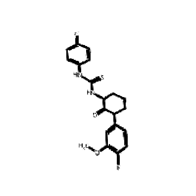 COc1cc(C2CCCC(NC(=S)Nc3ccc(F)cc3)C2=O)ccc1F